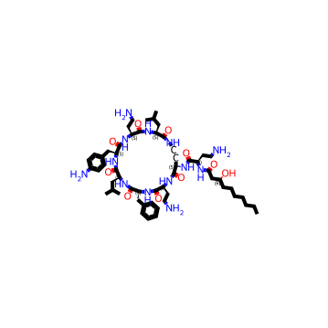 CCCCCCC[C@@H](O)CC(=O)N[C@H](CCN)C(=O)N[C@H]1CCNC(=O)[C@H](CC(C)C)NC(=O)[C@H](CCN)NC(=O)[C@H](Cc2ccc(N)cc2)NC(=O)[C@H](CC(C)C)NC(=O)[C@@H](Cc2ccccc2)NC(=O)[C@H](CCN)NC1=O